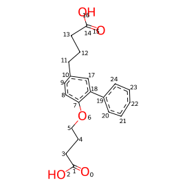 O=C(O)CCCOc1ccc(CCCC(=O)O)cc1-c1ccccc1